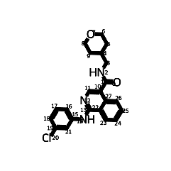 O=C(NCC1CCOCC1)c1cnc(Nc2cccc(Cl)c2)c2ccccc12